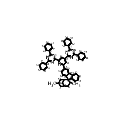 CC1CC2CC(C)C3(c4ccccc4-c4cc(-c5cc(-c6nc(-c7ccccc7)nc(-c7ccccc7)n6)cc(-c6nc(-c7ccccc7)nc(-c7ccccc7)n6)n5)ccc43)C(C1)C2